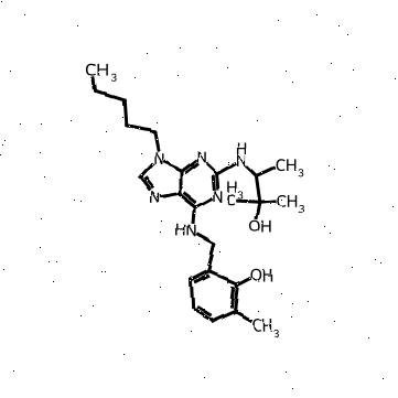 CCCCCn1cnc2c(NCc3cccc(C)c3O)nc(NC(C)C(C)(C)O)nc21